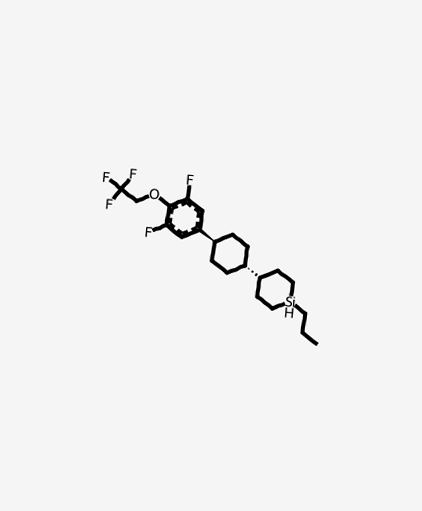 CCC[SiH]1CCC([C@H]2CC[C@H](c3cc(F)c(OCC(F)(F)F)c(F)c3)CC2)CC1